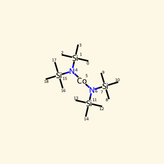 C[Si](C)(C)[N]([Co][N]([Si](C)(C)C)[Si](C)(C)C)[Si](C)(C)C